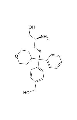 N[C@H](CO)CSC(c1ccccc1)(c1ccc(CO)cc1)C1CCOCC1